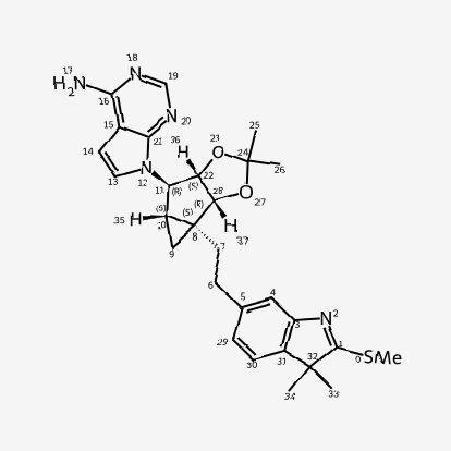 CSC1=Nc2cc(CC[C@]34C[C@@H]3[C@@H](n3ccc5c(N)ncnc53)[C@@H]3OC(C)(C)O[C@@H]34)ccc2C1(C)C